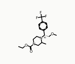 CCOC(=O)N1CCN([C@@H](COC)c2ccc(C(F)(F)F)cc2)C(C)C1